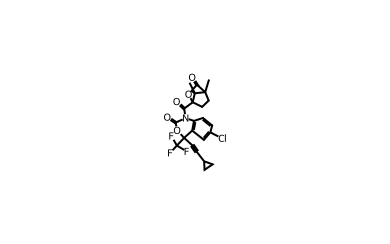 CC12CCC(C(=O)N3C(=O)OC(C#CC4CC4)(C(F)(F)F)c4cc(Cl)ccc43)(OC1=O)C2(C)C